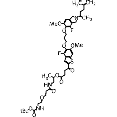 C=C(C)CCC(=C)N1Cc2cc(OC)c(OCCCOc3c(OC)cc4sc(C(=O)CCC(=O)OC(C)CNC(=O)CCOCCNC(=O)OC(C)(C)C)cc4c3F)c(F)c2C1